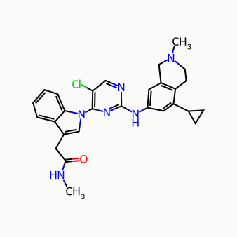 CNC(=O)Cc1cn(-c2nc(Nc3cc4c(c(C5CC5)c3)CCN(C)C4)ncc2Cl)c2ccccc12